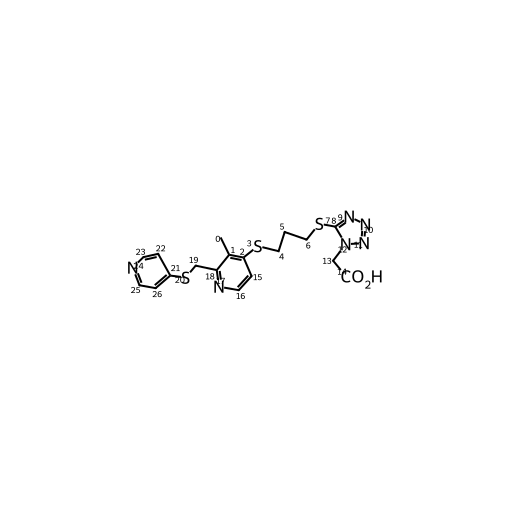 Cc1c(SCCCSc2nnnn2CC(=O)O)ccnc1CSc1ccncc1